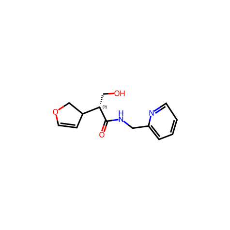 O=C(NCc1ccccn1)[C@@H](CO)C1C=COC1